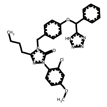 CCCCc1nn(-c2ccc(OC)cc2Cl)c(=O)n1Cc1ccc(OC(c2ccccc2)c2nnn[nH]2)cc1